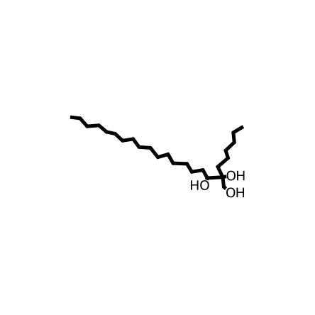 CCCCCCCCCCCCCCCCC(O)C(O)(CO)CCCCCC